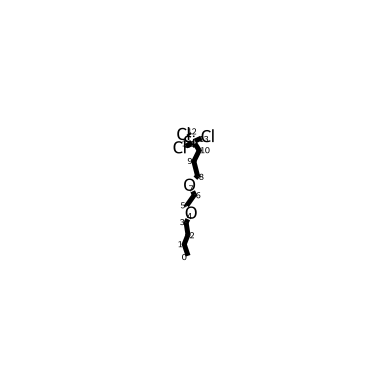 CCCCOCCOCCC[Si](Cl)(Cl)Cl